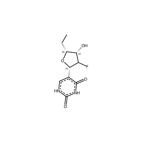 CC[C@H]1O[C@@H](c2c[nH]c(=O)[nH]c2=O)C(F)[C@H]1O